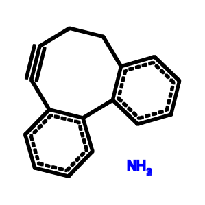 C1#Cc2ccccc2-c2ccccc2CC1.N